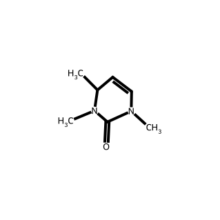 CC1C=CN(C)C(=O)N1C